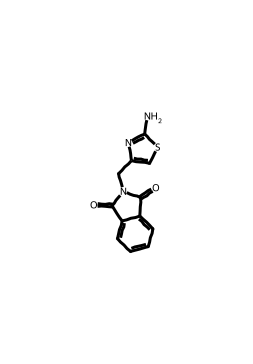 Nc1nc(CN2C(=O)c3ccccc3C2=O)cs1